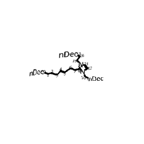 CCCCCCCCCCCCCCCCCC1N(CCCCCCCCCCC)C=CN1CCCCCCCCCCCC